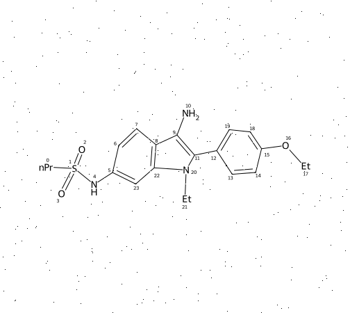 CCCS(=O)(=O)Nc1ccc2c(N)c(-c3ccc(OCC)cc3)n(CC)c2c1